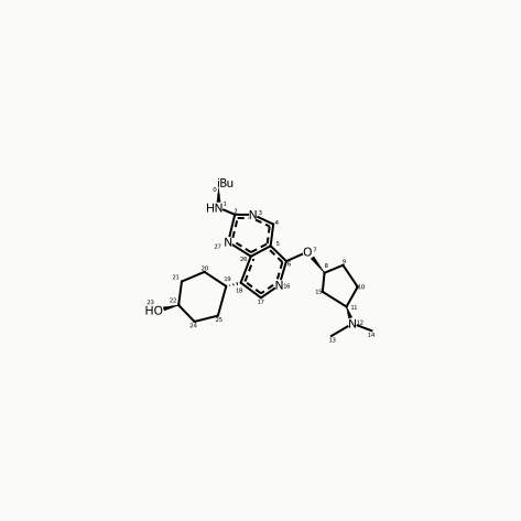 CC[C@H](C)Nc1ncc2c(O[C@H]3CC[C@@H](N(C)C)C3)ncc([C@H]3CC[C@H](O)CC3)c2n1